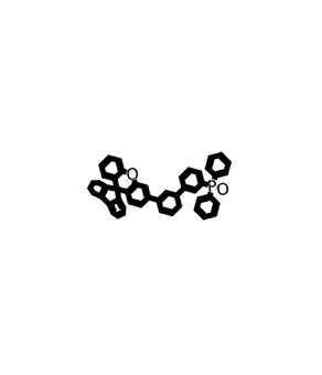 O=P(c1ccccc1)(c1ccccc1)c1cccc(C2C=C(c3ccc4c(c3)Oc3ccccc3C43C4=C(CCCC4)c4ccccc43)C=CC2)c1